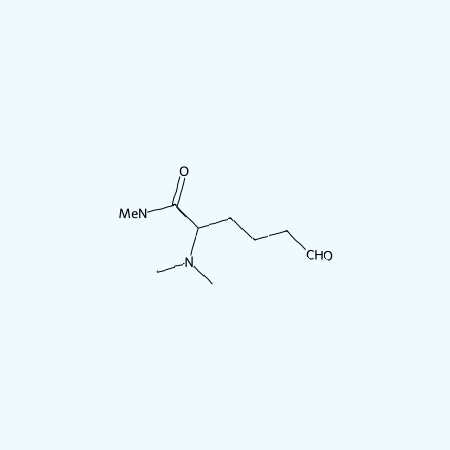 CNC(=O)C(CCCC=O)N(C)C